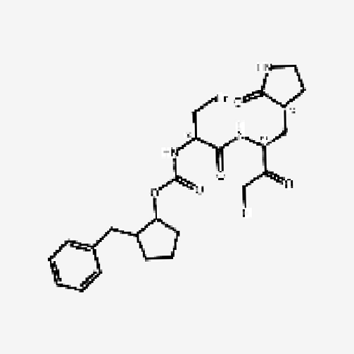 CC(C)C[C@H](NC(=O)OC1CCCC1Cc1ccccc1)C(=O)N[C@@H](C[C@@H]1CCNC1=O)C(=O)CCl